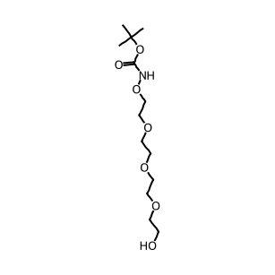 CC(C)(C)OC(=O)NOCCOCCOCCOCCO